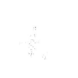 COc1cc2c(cc1Nc1ncc3cnn([C@H]4CC[C@H](C(N)=O)CC4)c3n1)CN(C)CC2